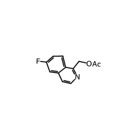 CC(=O)OCc1nccc2cc(F)ccc12